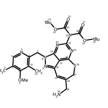 COc1c(C)cnc(Cn2nc3c4c(nc(N(C(=O)OC(C)(C)C)C(=O)OC(C)(C)C)nc42)SCC(CN)=C3)c1C